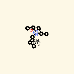 CC1(C)c2cc(-c3nc(-c4ccc(-c5ccccc5)cc4-c4ccccc4)nc(-c4cccc5c4oc4ccccc45)n3)ccc2-c2cccc(-c3ccccc3)c21